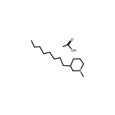 CC(=O)O.CCCCCCCCC1CCCN(C)C1